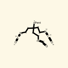 CCCCCC(CCN=C=O)(CCN=C=O)CCN=C=O